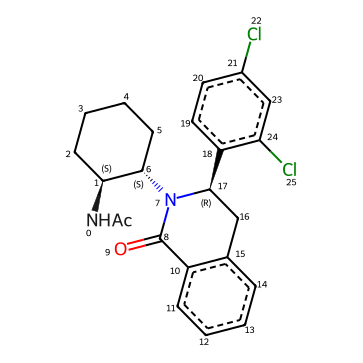 CC(=O)N[C@H]1CCCC[C@@H]1N1C(=O)c2ccccc2C[C@@H]1c1ccc(Cl)cc1Cl